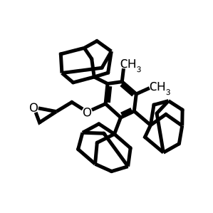 Cc1c(C)c(C23CC4CC(CC(C4)C2)C3)c(C23CC4CC(CC(C4)C2)C3)c(OCC2CO2)c1C12CC3CC(CC(C3)C1)C2